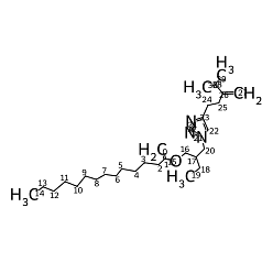 C=C(CCCCCCCCCCCCC)OCC(CC)Cn1cc(CCC(=C)C(C)C)nn1